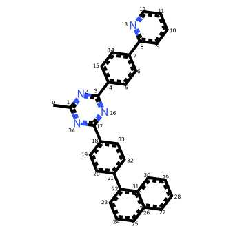 Cc1nc(-c2ccc(-c3ccccn3)cc2)nc(-c2ccc(-c3cccc4ccccc34)cc2)n1